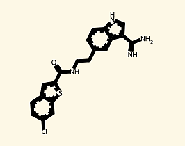 N=C(N)c1c[nH]c2ccc(CCNC(=O)c3cc4ccc(Cl)cc4s3)cc12